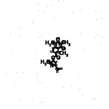 Cc1c(C(=O)Oc2cc(C3CC3)nn2C)ccc2c1c(=O)n(C)c(=O)n2C